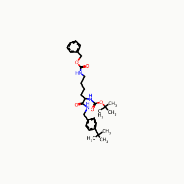 CC(C)(C)OC(=O)NC(CCCCNC(=O)OCc1ccccc1)C(=O)NCc1ccc(C(C)(C)C)cc1